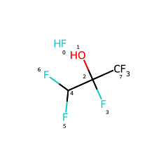 F.OC(F)(C(F)F)C(F)(F)F